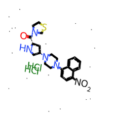 Cl.Cl.O=C([C@@H]1C[C@H](N2CCN(c3ccc([N+](=O)[O-])c4ccccc34)CC2)CN1)N1CCSC1